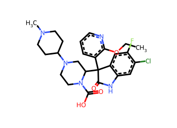 CCOc1ncccc1C1(C2CN(C3CCN(C)CC3)CCN2C(=O)O)C(=O)Nc2cc(Cl)c(F)cc21